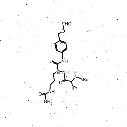 CCC(C)NC(C(=O)N[C@@H](CCCNC(N)=O)C(=O)Nc1ccc(COC=O)cc1)C(C)C